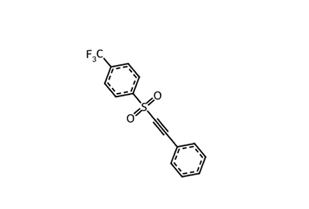 O=S(=O)(C#Cc1ccccc1)c1ccc(C(F)(F)F)cc1